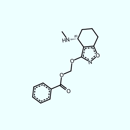 CN[C@@H]1CCCc2onc(OCOC(=O)c3ccccc3)c21